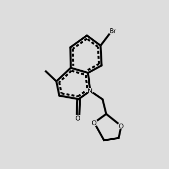 Cc1cc(=O)n(CC2OCCO2)c2cc(Br)ccc12